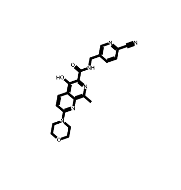 Cc1nc(C(=O)NCc2ccc(C#N)nc2)c(O)c2ccc(N3CCOCC3)nc12